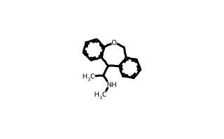 CNC(C)C1c2ccccc2COc2ccccc21